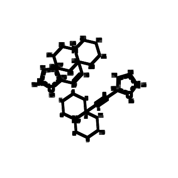 C(#CC12CCCCN1CCCC2)c1ccno1.C(=C/C12CCCCN1CCCC2)/c1ccno1